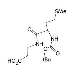 CSCCC(NC(=O)OC(C)(C)C)C(=O)NCCC(=O)O